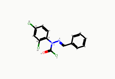 O=C(Cl)N(N=Cc1ccccc1)c1ccc(Cl)cc1Cl